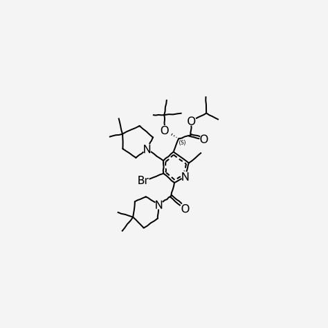 Cc1nc(C(=O)N2CCC(C)(C)CC2)c(Br)c(N2CCC(C)(C)CC2)c1[C@H](OC(C)(C)C)C(=O)OC(C)C